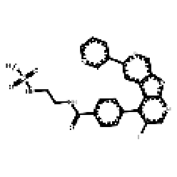 CS(=O)(=O)NCCNC(=O)c1ccc(-c2c(F)cnc3[nH]c4cnc(-c5cccnc5)cc4c23)cc1